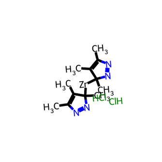 CC1=C(C)[C](C)([Zr][C]2(C)N=NC(C)=C2C)N=N1.Cl.Cl